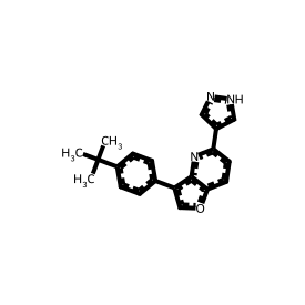 CC(C)(C)c1ccc(-c2coc3ccc(-c4cn[nH]c4)nc23)cc1